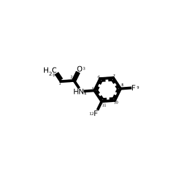 C=CC(=O)Nc1ccc(F)cc1F